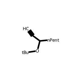 C#CC(CCCCC)OC(C)(C)C